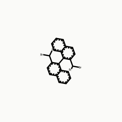 BrC(Br)c1ccc2ccccc2c1-c1c(C(Br)Br)ccc2ccccc12